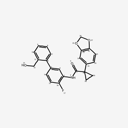 O=C(Nc1cc(-c2ccccc2CO)ccc1F)C1(c2ccc3c(c2)OCO3)CC1